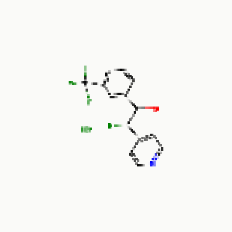 Br.O=C(c1cccc(C(F)(F)F)c1)C(Br)c1ccncc1